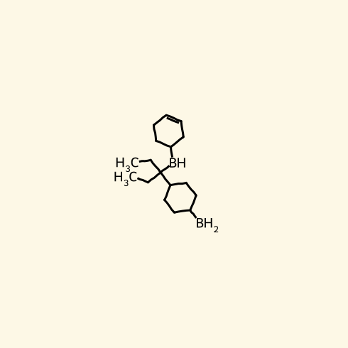 BC1CCC(C(BC2CC=CCC2)(CC)CC)CC1